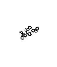 c1ccc(-n2c3ccccc3c3ccc(N(c4cccc(-c5ccc6c(c5)oc5ccccc56)c4)c4cccc5c4sc4ccccc45)cc32)cc1